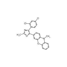 Cc1nc(-c2ccc(Cl)cc2Cl)c(-c2ccc3c(c2)Oc2ccccc2N3C)o1